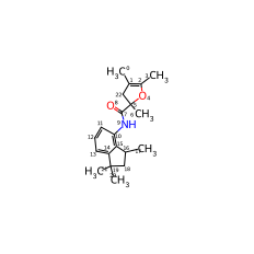 CC1=C(C)OC(C)(C(=O)Nc2cccc3c2C(C)CC3(C)C)C1